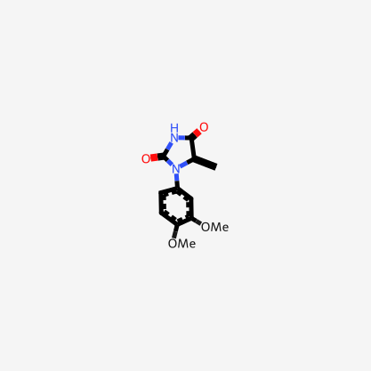 C=C1C(=O)NC(=O)N1c1ccc(OC)c(OC)c1